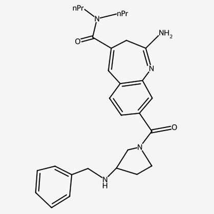 CCCN(CCC)C(=O)C1=Cc2ccc(C(=O)N3CCC(NCc4ccccc4)C3)cc2N=C(N)C1